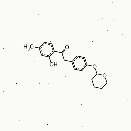 Cc1ccc(C(=O)Cc2ccc(OC3CCCCO3)cc2)c(O)c1